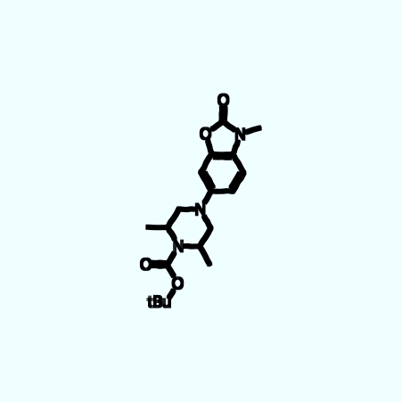 CC1CN(c2ccc3c(c2)oc(=O)n3C)CC(C)N1C(=O)OC(C)(C)C